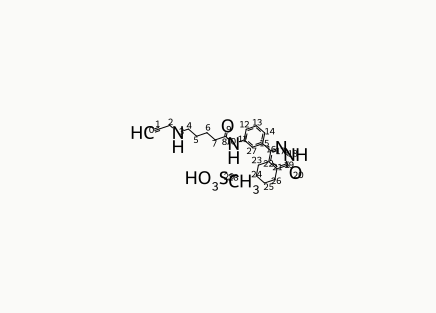 C#CCNCCCCC(=O)Nc1cccc(-c2n[nH]c(=O)c3c2CCCC3)c1.CS(=O)(=O)O